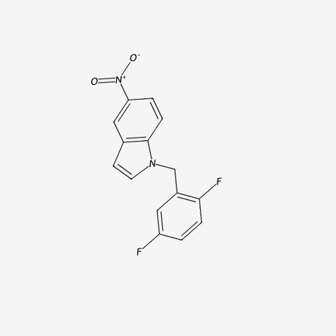 O=[N+]([O-])c1ccc2c(ccn2Cc2cc(F)ccc2F)c1